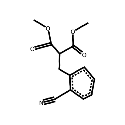 COC(=O)C(Cc1ccccc1C#N)C(=O)OC